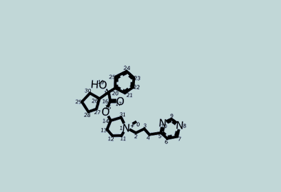 C[N+]1(CCCc2ccncn2)CCCC(OC(=O)[C@](O)(c2ccccc2)C2CCCC2)C1